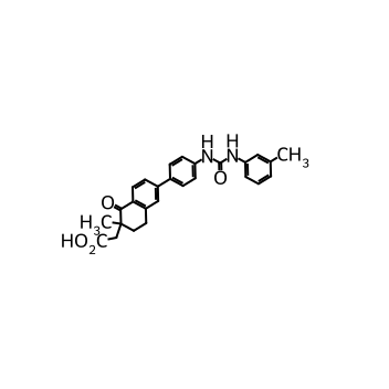 Cc1cccc(NC(=O)Nc2ccc(-c3ccc4c(c3)CCC(C)(CC(=O)O)C4=O)cc2)c1